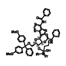 COc1ccc(C(OC[C@H]2O[C@@H](n3cnc4c(NC(=O)c5ccccc5)ncnc43)[C@H](OC(=O)Nc3ccccc3)[C@@H]2O[PH](O)(CCC#N)N(C(C)C)C(C)C)(c2ccccc2)c2ccc(OC)cc2)cc1